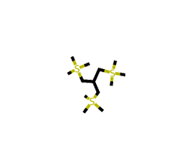 CS(C)(C)CC(CS(C)(C)C)CS(C)(C)C